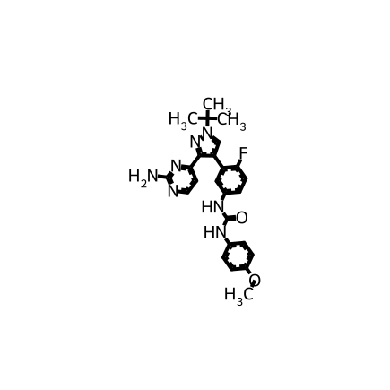 COc1ccc(NC(=O)Nc2ccc(F)c(-c3cn(C(C)(C)C)nc3-c3ccnc(N)n3)c2)cc1